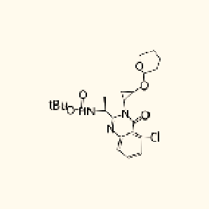 C[C@H](NC(=O)OC(C)(C)C)c1nc2cccc(Cl)c2c(=O)n1C1CC1OC1CCCCO1